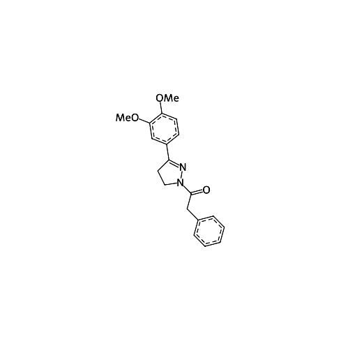 COc1ccc(C2=NN(C(=O)Cc3ccccc3)CC2)cc1OC